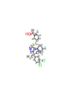 CC(C)(c1ccc(Cl)c(Cl)c1)c1cnc(SCc2ccc(F)c(C(=O)O)c2)n1-c1ccc(F)cc1